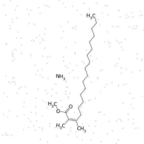 CCCCCCCCCCCCCCCCC(C)=C(C)C(=O)OC.N